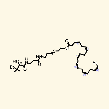 CC/C=C\C/C=C\C/C=C\C/C=C\C/C=C\C/C=C\CC(=O)NCCSSCCNC(=O)CCNC(=O)[C@H](O)C(C)(C)CC